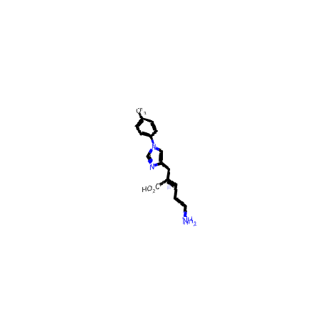 NCC/C=C(/Cc1cn(-c2ccc(C(F)(F)F)cc2)cn1)C(=O)O